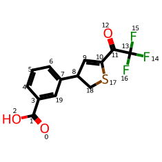 O=C(O)c1cccc(C2C=C(C(=O)C(F)(F)F)SC2)c1